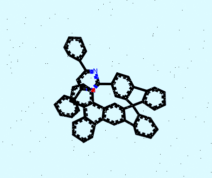 c1ccc(-c2cc(-c3ccccc3)nc(-c3ccc4c(c3)C3(c5ccccc5-4)c4ccccc4-c4cc5c6ccccc6c6ccccc6c5cc43)n2)cc1